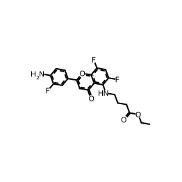 CCOC(=O)CCCNc1c(F)cc(F)c2oc(-c3ccc(N)c(F)c3)cc(=O)c12